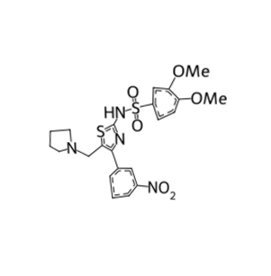 COc1ccc(S(=O)(=O)Nc2nc(-c3cccc([N+](=O)[O-])c3)c(CN3CCCC3)s2)cc1OC